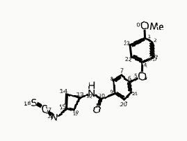 COc1ccc(Oc2ccc(C(=O)NC3CC(N=C=S)C3)cc2)cc1